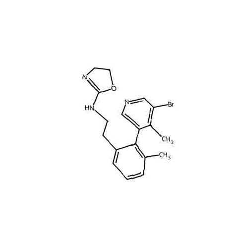 Cc1cccc(CCNC2=NCCO2)c1-c1cncc(Br)c1C